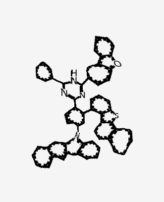 c1ccc(C2N=C(c3ccc(-n4c5ccccc5c5cc6ccccc6cc54)cc3-c3cccc4sc5c6ccccc6ccc5c34)N=C(c3ccc4oc5ccccc5c4c3)N2)cc1